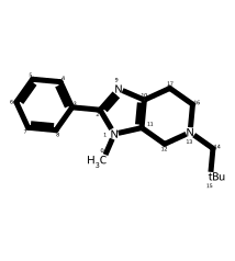 Cn1c(-c2ccccc2)nc2c1CN(CC(C)(C)C)CC2